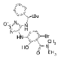 CN(C)C(=O)c1c(Br)ccc(Nc2n[s+]([O-])nc2N[C@@H](c2ccccc2)C(C)(C)C)c1O